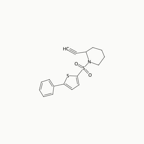 C#CC1CCCCN1S(=O)(=O)c1ccc(-c2ccccc2)s1